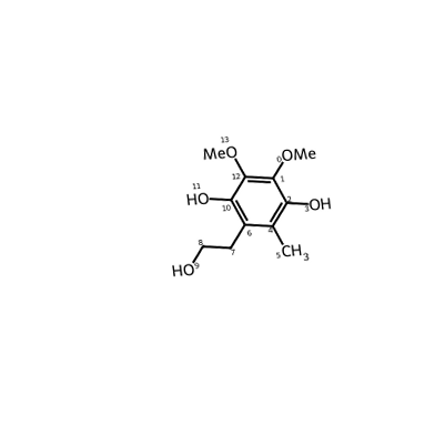 COc1c(O)c(C)c(CCO)c(O)c1OC